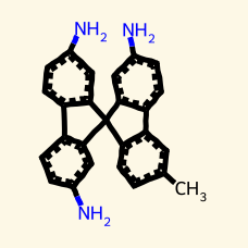 Cc1ccc2c(c1)-c1ccc(N)cc1C21c2cc(N)ccc2-c2ccc(N)cc21